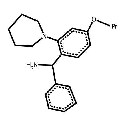 CC(C)Oc1ccc(C(N)c2ccccc2)c(N2CCCCC2)c1